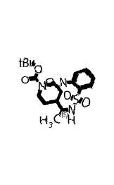 C[C@H](NS(=O)(=O)c1ccccc1[N+](=O)[O-])C1CCN(C(=O)OC(C)(C)C)CC1